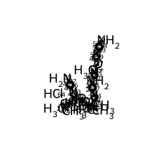 C[N+](C)(C)C(C(=O)OP(=O)(O)O)C1CCN(c2ccc(N)cc2)C1.C[N+](C)(C)CCOC1CCN(c2ccc(N)cc2)C1.C[N+]1(CCOC2CCN(c3ccc(N)cc3)C2)CCCC1.Cl